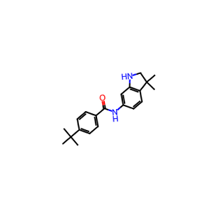 CC(C)(C)c1ccc(C(=O)Nc2ccc3c(c2)NCC3(C)C)cc1